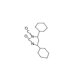 O=C=NC(CC(N=C=O)C1CCCCC1)C1CCCCC1